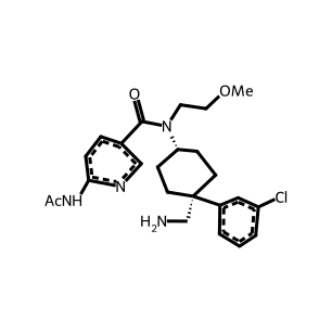 COCCN(C(=O)c1ccc(NC(C)=O)nc1)[C@H]1CC[C@](CN)(c2cccc(Cl)c2)CC1